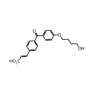 O=C(O)C=Cc1ccc(C(=O)c2ccc(OCCCCO)cc2)cc1